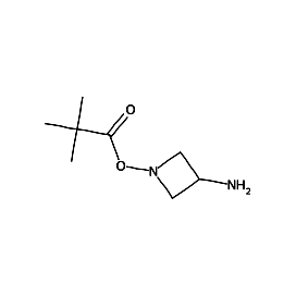 CC(C)(C)C(=O)ON1CC(N)C1